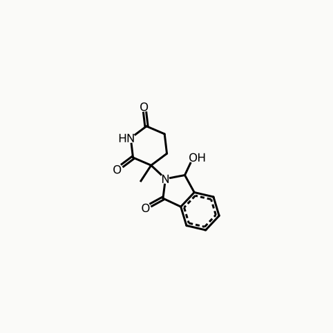 CC1(N2C(=O)c3ccccc3C2O)CCC(=O)NC1=O